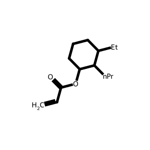 C=CC(=O)OC1CCCC(CC)C1CCC